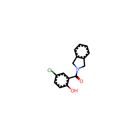 O=C(c1cc(Cl)ccc1O)N1Cc2ccccc2C1